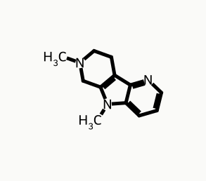 CN1CCc2c(n(C)c3cccnc23)C1